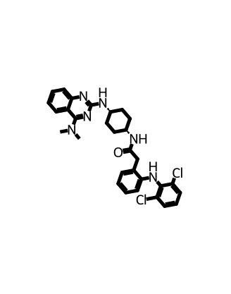 CN(C)c1nc(N[C@H]2CC[C@@H](NC(=O)Cc3ccccc3Nc3c(Cl)cccc3Cl)CC2)nc2ccccc12